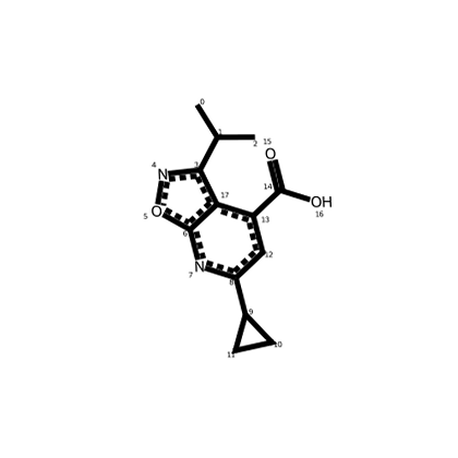 CC(C)c1noc2nc(C3CC3)cc(C(=O)O)c12